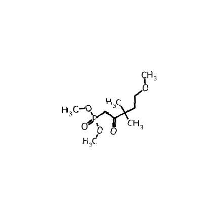 COCCC(C)(C)C(=O)CP(=O)(OC)OC